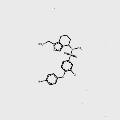 CN(C1CCCc2c1cnn2CC(=O)O)S(=O)(=O)c1ccc(Oc2ccc(Br)cc2)c(Cl)c1